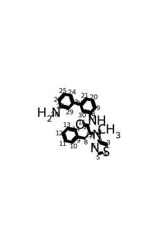 CN(c1cscn1)[C@@H](Cc1ccccc1)C(=O)Nc1cccc(-c2cccc(N)c2)c1